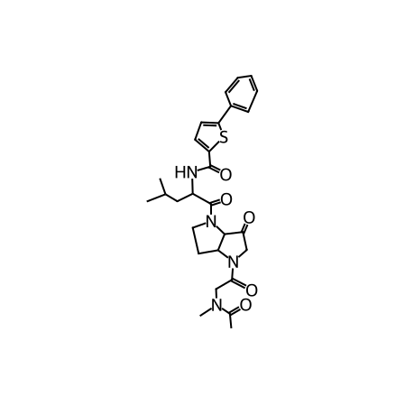 CC(=O)N(C)CC(=O)N1CC(=O)C2C1CCN2C(=O)C(CC(C)C)NC(=O)c1ccc(-c2ccccc2)s1